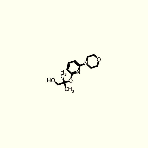 CC(C)(CO)Oc1cccc(N2CCOCC2)n1